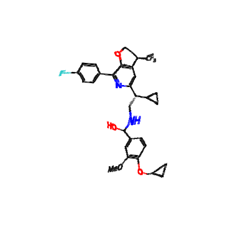 COc1cc(C(O)NC[C@H](c2cc3c(c(-c4ccc(F)cc4)n2)OC[C@H]3C(F)(F)F)C2CC2)ccc1OC1CC1